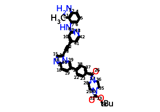 Cc1c(N)cccc1Nc1cc(C#Cc2cnc3ccc(-c4ccc(C(=O)N5CCN(C(=O)OC(C)(C)C)CC5)cc4)cn23)ccn1